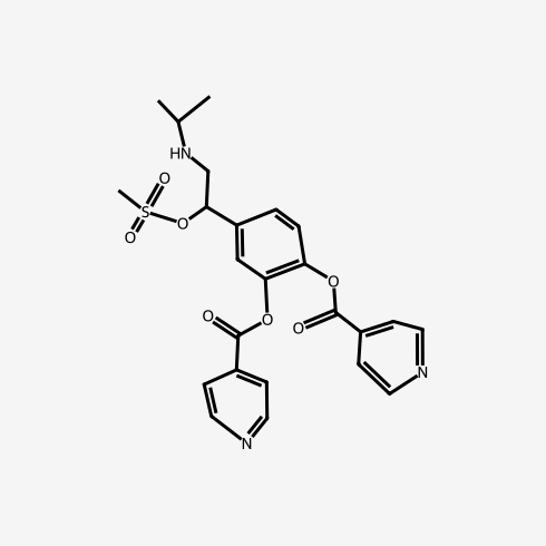 CC(C)NCC(OS(C)(=O)=O)c1ccc(OC(=O)c2ccncc2)c(OC(=O)c2ccncc2)c1